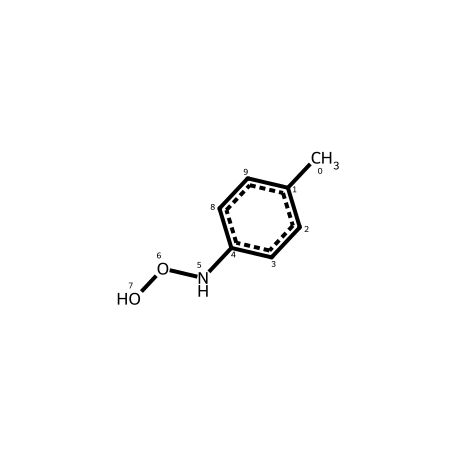 Cc1ccc(NOO)cc1